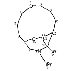 CC(C)N1CC2CCCOCCCC(C1)N(C(C)C)C2